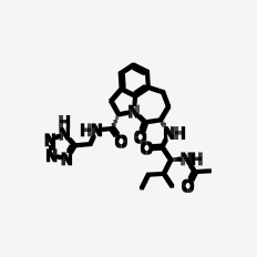 CCC(C)[C@H](NC(C)=O)C(=O)N[C@H]1CCc2cccc3c2N(C1=O)[C@H](C(=O)NCc1nnn[nH]1)C3